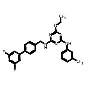 Fc1cc(F)cc(-c2ccc(CNc3nc(Nc4cccc(C(F)(F)F)c4)nc(OCC(F)(F)F)n3)cc2)c1